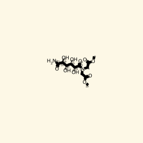 COC(=O)CN(CC(=O)OC)C(=O)[C@H](O)[C@@H](O)[C@H](O)[C@H](O)C(N)=O